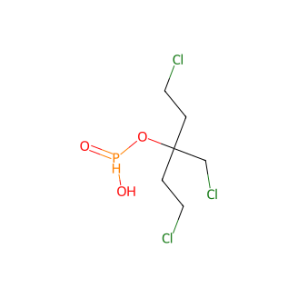 O=[PH](O)OC(CCl)(CCCl)CCCl